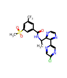 CC(NC(=O)c1cc(C(F)(F)F)cc(S(C)(=O)=O)c1)c1nccnc1-c1cnc(Cl)cn1